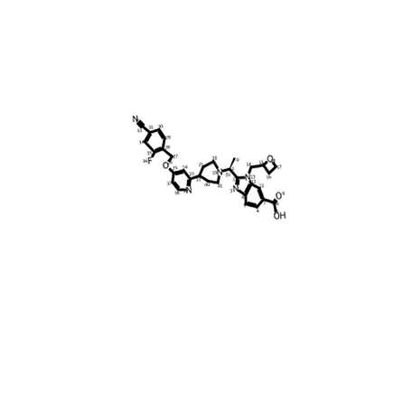 C[C@@H](c1nc2ccc(C(=O)O)cc2n1CC1CCO1)N1CCC(c2cc(OCc3ccc(C#N)cc3F)ccn2)CC1